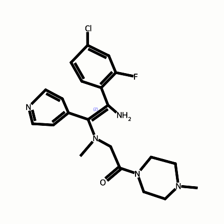 CN1CCN(C(=O)CN(C)/C(=C(\N)c2ccc(Cl)cc2F)c2ccncc2)CC1